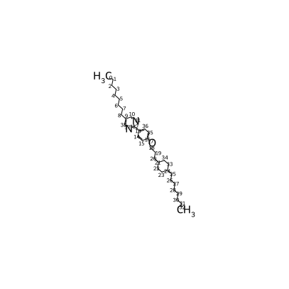 CCCCCCCCCc1cnc(-c2ccc(OCCCC3CCC(CCCCCCCC)CC3)cc2)nc1